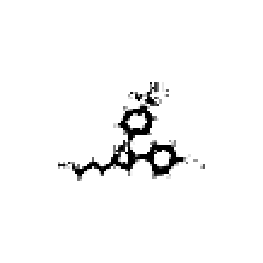 Cc1ccc(-c2cc(CCCO)nn2-c2ccc(S(N)(=O)=O)cc2)cc1